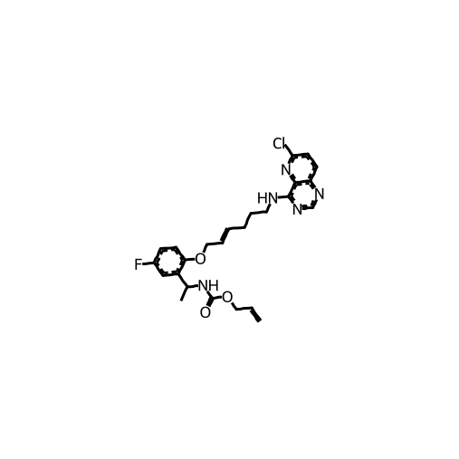 C=CCOC(=O)NC(C)c1cc(F)ccc1OCC=CCCCNc1ncnc2ccc(Cl)nc12